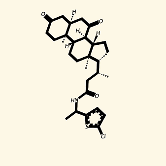 CC(NC(=O)C[C@@H](C)[C@H]1CC[C@H]2[C@@H]3C(=O)C[C@@H]4CC(=O)CC[C@]4(C)[C@H]3CC[C@]12C)c1ccc(Cl)s1